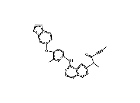 CC#CC(=O)N(C)c1ccc2ncnc(Nc3ccc(Oc4ccn5ncnc5c4)c(C)c3)c2c1